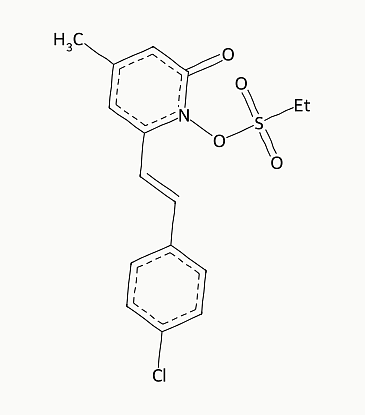 CCS(=O)(=O)On1c(/C=C/c2ccc(Cl)cc2)cc(C)cc1=O